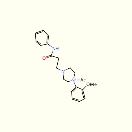 COc1ccccc1[N+]1(C(C)=O)CCN(CCC(=O)Nc2ccccc2)CC1